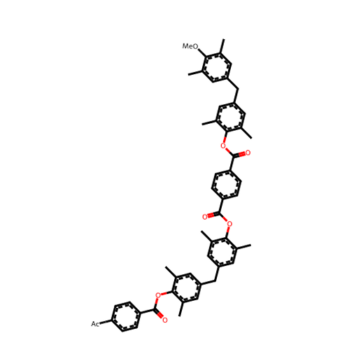 COc1c(C)cc(Cc2cc(C)c(OC(=O)c3ccc(C(=O)Oc4c(C)cc(Cc5cc(C)c(OC(=O)c6ccc(C(C)=O)cc6)c(C)c5)cc4C)cc3)c(C)c2)cc1C